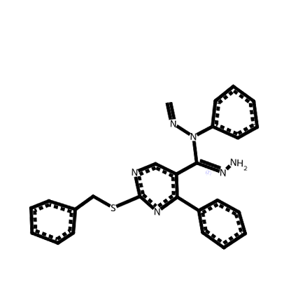 C=NN(/C(=N\N)c1cnc(SCc2ccccc2)nc1-c1ccccc1)c1ccccc1